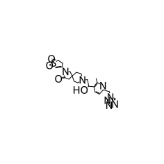 Cc1nc(Cn2cnnn2)ccc1C(O)CN1CCC2(CC1)CC(=O)N(C1=CS(=O)(=O)CC1)C2